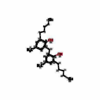 Cc1cc(CCCCC(C)(C)C)c(O)c(Cc2cc(C)cc(CCCCC(C)(C)C)c2O)c1